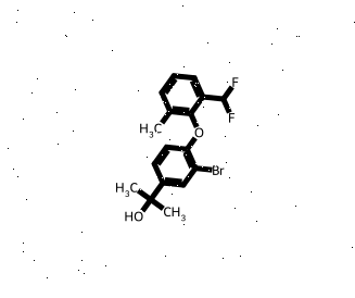 Cc1cccc(C(F)F)c1Oc1ccc(C(C)(C)O)cc1Br